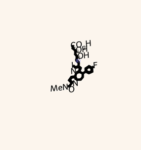 CNC(=O)c1ccc2c(n1)CCC(c1ccc(F)cc1)c1cc(/C=C/[C@@H](O)C[C@@H](O)CC(=O)O)c(I)nc1-2